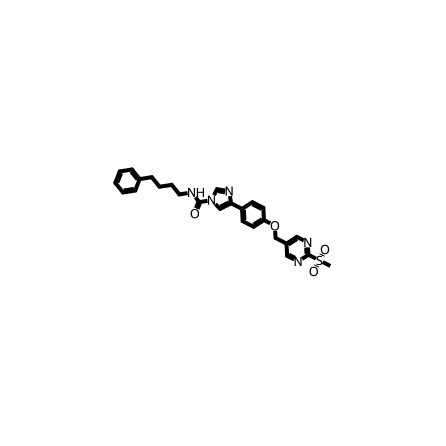 CS(=O)(=O)c1ncc(COc2ccc(-c3cn(C(=O)NCCCCc4ccccc4)cn3)cc2)cn1